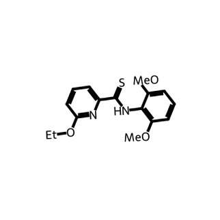 CCOc1cccc(C(=S)Nc2c(OC)cccc2OC)n1